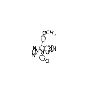 COc1ccc(-c2cc(-n3cncn3)n(-c3cccc(Cl)c3)c(=O)c2Cn2cncn2)cc1